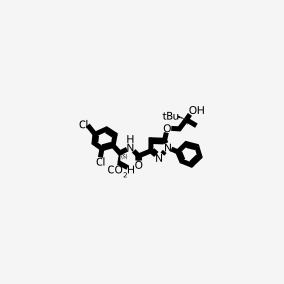 CC(C)(C)[C@@](C)(O)COc1cc(C(=O)N[C@@H](CC(=O)O)c2ccc(Cl)cc2Cl)nn1-c1ccccc1